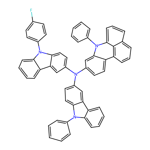 Fc1ccc(-n2c3ccccc3c3cc(N(c4ccc5c(c4)N(c4ccccc4)c4cccc6cccc-5c46)c4ccc5c(c4)c4ccccc4n5-c4ccccc4)ccc32)cc1